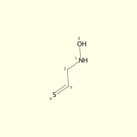 ONCC=S